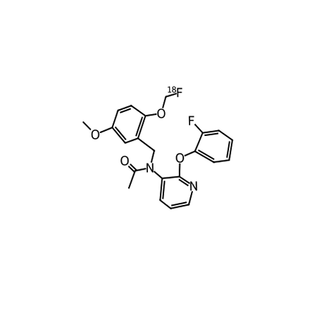 COc1ccc(OC[18F])c(CN(C(C)=O)c2cccnc2Oc2ccccc2F)c1